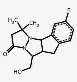 CC1(C)CC(=O)N2C(CO)C3Cc4ccc(F)cc4C3N21